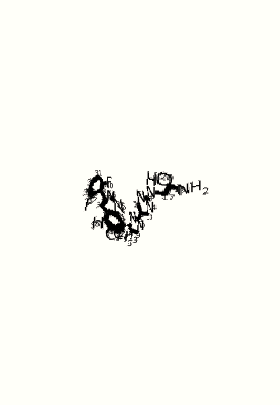 CC1(C)[C@H]2CC[C@@]1(c1ccnc(-c3cnc(NCC(N)=O)nc3)n1)c1nnc(-c3c(F)cccc3F)cc12